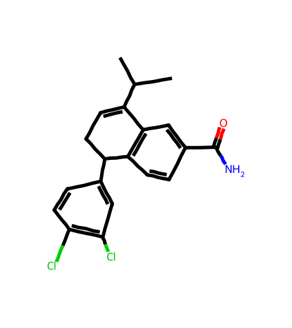 CC(C)C1=CCC(c2ccc(Cl)c(Cl)c2)c2ccc(C(N)=O)cc21